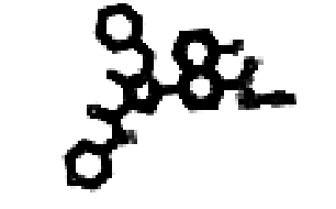 Cc1c(C(=O)NC2CCOCC2)cc(-c2ccc([S+]([O-])NC(C)(C)C)c3c(F)cccc23)n1CC1CCCCC1